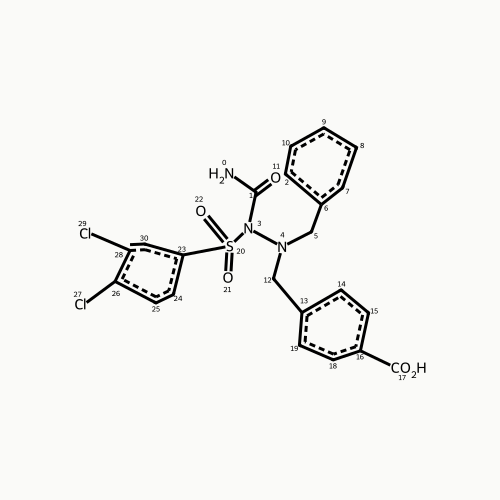 NC(=O)N(N(Cc1ccccc1)Cc1ccc(C(=O)O)cc1)S(=O)(=O)c1ccc(Cl)c(Cl)c1